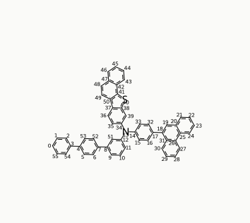 c1ccc(-c2ccc(-c3cccc(N(c4ccc(-c5cc6ccccc6c6ccccc56)cc4)c4ccc5c(c4)sc4c6ccccc6ccc54)c3)cc2)cc1